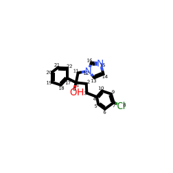 OC(CCc1ccc(Cl)cc1)(Cn1ccnc1)c1ccccc1